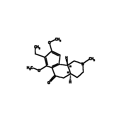 CCc1c(OC)cc2c(c1OC)C(=O)C[C@@H]1CCN(C)C[C@@H]21